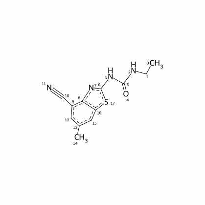 CCNC(=O)Nc1nc2c(C#N)cc(C)cc2s1